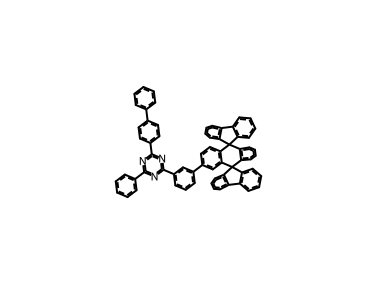 c1ccc(-c2ccc(-c3nc(-c4ccccc4)nc(-c4cccc(-c5ccc6c(c5)C5(c7ccccc7-c7ccccc75)c5ccccc5C65c6ccccc6-c6ccccc65)c4)n3)cc2)cc1